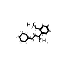 CCc1ccccc1C(C)CCC1CCCCC1